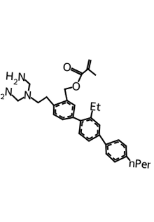 C=C(C)C(=O)OCc1cc(-c2ccc(-c3ccc(CCCCC)cc3)cc2CC)ccc1CCN(CN)CN